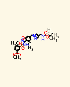 COC(=O)c1ccc(C)c(S(=O)(=O)Nc2noc3cc(Cn4cc(CNC(=O)OC(C)(C)C)cn4)cc(C)c23)c1